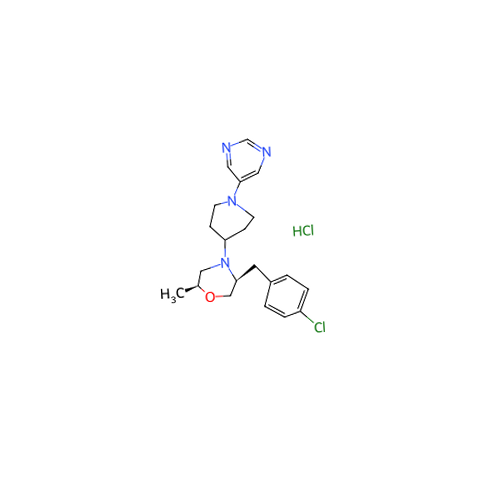 C[C@H]1CN(C2CCN(c3cncnc3)CC2)[C@@H](Cc2ccc(Cl)cc2)CO1.Cl